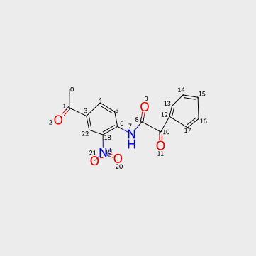 CC(=O)c1ccc(NC(=O)C(=O)c2ccccc2)c([N+](=O)[O-])c1